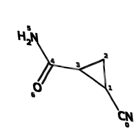 N#CC1CC1C(N)=O